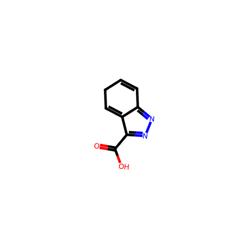 O=C(O)C1=NN=C2C=CCC=C21